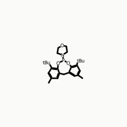 Cc1cc2c(c(C(C)(C)C)c1)OP(N1CCOCC1)Oc1c(cc(C)cc1C(C)(C)C)C2